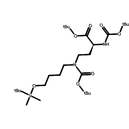 CC(C)(C)OC(=O)N[C@@H](CCN(CCCCO[Si](C)(C)C(C)(C)C)C(=O)OC(C)(C)C)C(=O)OC(C)(C)C